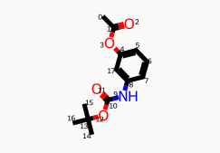 CC(=O)Oc1cccc(NC(=O)OC(C)(C)C)c1